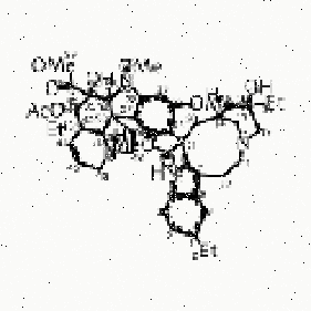 CCc1ccc2[nH]c3c(c2c1)CCN1C[C@H](C[C@@](O)(CC)C1)C[C@]3(C(=O)OC)c1cc2c(cc1OC)N(OC)[C@H]1[C@@](O)(C(=O)OC)[C@H](OC(C)=O)[C@]3(CC)C=CCN4CC[C@]21[C@@H]43